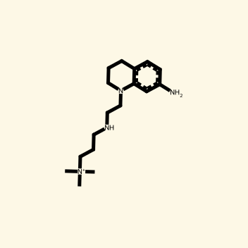 C[N+](C)(C)CCCNCCN1CCCc2ccc(N)cc21